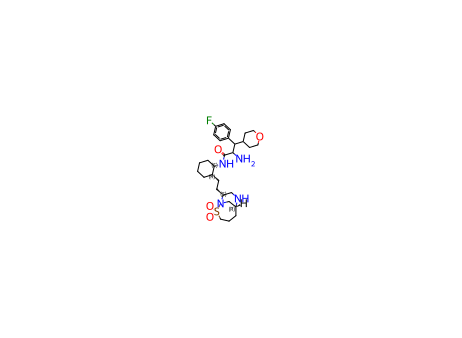 NC(C(=O)N[C@H]1CCCC[C@@H]1CC[C@H]1CN[C@@H]2CCCS(=O)(=O)N1C2)C(c1ccc(F)cc1)C1CCOCC1